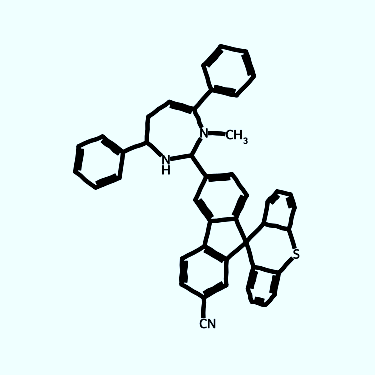 CN1C(c2ccccc2)=CCC(c2ccccc2)NC1c1ccc2c(c1)-c1ccc(C#N)cc1C21c2ccccc2SC2C=CC=CC21